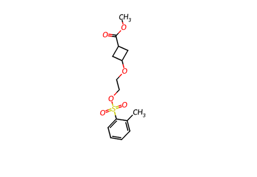 COC(=O)C1CC(OCCOS(=O)(=O)c2ccccc2C)C1